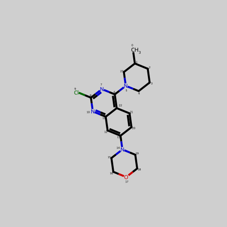 CC1CCCN(c2nc(Cl)nc3cc(N4CCOCC4)ccc23)C1